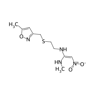 CNC(=C[N+](=O)[O-])NCCSCc1cc(C)on1